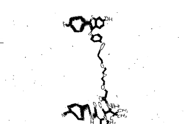 CC(C)(C)C(NC(=O)COCCOCCOCCOc1ccc(Oc2c(-c3ccc(F)cc3)sc3cc(O)ccc23)cc1)C(=O)N1C[C@H](O)C[C@H]1C(=O)NCc1ccc(C#N)cc1